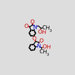 CC(O)CN1C(=O)C(=O)c2ccccc21.CC(O)N1C(=O)C(=O)c2ccccc21